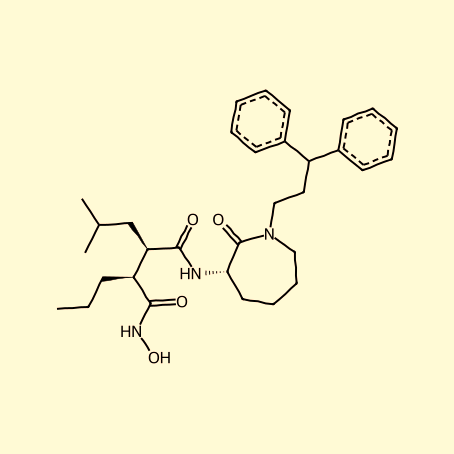 CCC[C@H](C(=O)NO)[C@@H](CC(C)C)C(=O)N[C@H]1CCCCN(CCC(c2ccccc2)c2ccccc2)C1=O